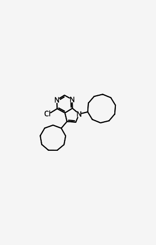 Clc1ncnc2c1c(C1CCCCCCCC1)cn2C1CCCCCCCCC1